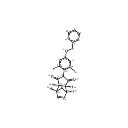 Cc1cc(OCc2ccccc2)cc(C)c1C1C(=O)[C@@H]2[C@H](C1=O)[C@@H]1C=C[C@H]2C1